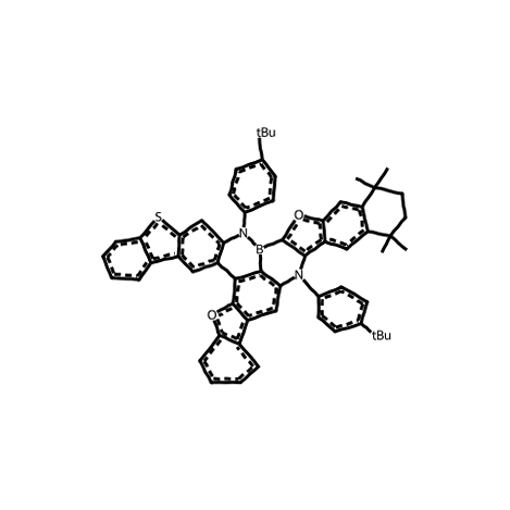 CC(C)(C)c1ccc(N2B3c4oc5cc6c(cc5c4N(c4ccc(C(C)(C)C)cc4)c4cc5c(oc7ccccc75)c(c43)-c3cc4c(cc32)sc2ccccc24)C(C)(C)CCC6(C)C)cc1